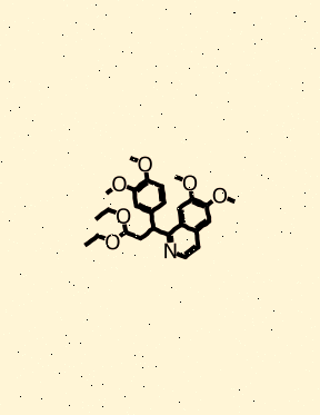 CCOC(CC(c1ccc(OC)c(OC)c1)c1nccc2cc(OC)c(OC)cc12)OCC